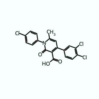 Cc1cc(-c2ccc(Cl)c(Cl)c2)c(C(=O)O)c(=O)n1-c1ccc(Cl)cc1